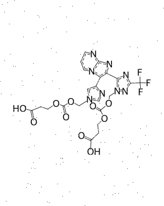 O=C(O)CCOC(=O)OCn1cnc(-c2c(-c3nc(C(F)(F)F)nn3COC(=O)OCCC(=O)O)nc3ncccn23)c1